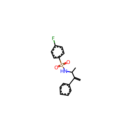 C=C(c1ccccc1)C(C)NS(=O)(=O)c1ccc(F)cc1